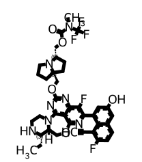 C#Cc1c(F)ccc2cc(O)cc(-c3nc4c5c(nc(OC[C@@]67CCCN6[C@H](COC(=O)N(C)C(F)(F)F)CC7)nc5c3F)N3CCN[C@@H](CC)[C@H]3CO4)c12